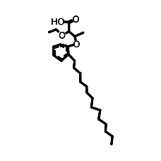 CCCCCCCCCCCCCCc1ccccc1OC(C)C(OCC)C(=O)O